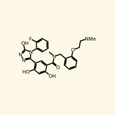 CNCCOc1ccccc1CN(C)C(=O)c1cc(-c2nnc(O)n2-c2ccccc2F)c(O)cc1O